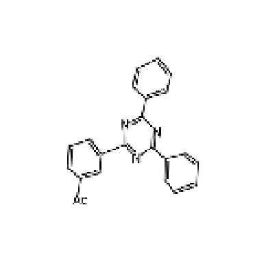 CC(=O)c1cccc(-c2nc(-c3ccccc3)nc(-c3ccccc3)n2)c1